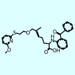 COc1cccc(SCCOCC(C)=CCCC(Nc2ccccc2C(=O)c2ccccc2)C(=O)O)n1